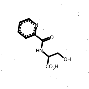 O=C(NC(CO)C(=O)O)c1ccccn1